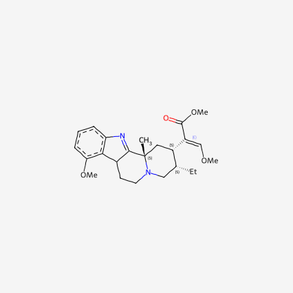 CC[C@@H]1CN2CCC3C(=Nc4cccc(OC)c43)[C@]2(C)C[C@@H]1/C(=C\OC)C(=O)OC